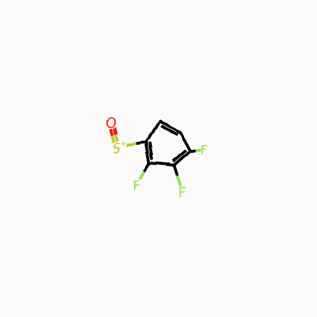 O=[S+]c1ccc(F)c(F)c1F